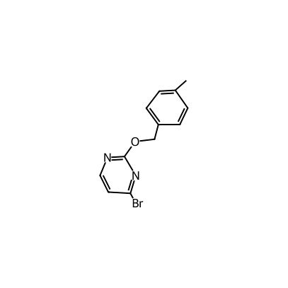 Cc1ccc(COc2nccc(Br)n2)cc1